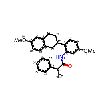 CCC(C(=O)Nc1cc(OC)ccc1C1CCc2cc(OC)ccc2C1)c1ccccc1